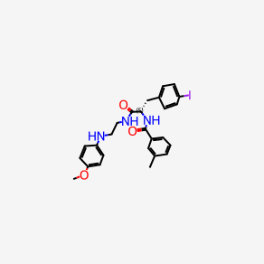 COc1ccc(NCCNC(=O)[C@H](Cc2ccc(I)cc2)NC(=O)c2cccc(C)c2)cc1